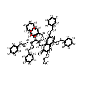 CC(=O)COc1nc2c(OCc3ccccc3)nc(OCc3ccccc3)nc2n(C[C@H](OCc2ccccc2)[C@H](OCc2ccccc2)[C@@H](COCc2ccccc2)OCc2ccccc2)c1=O